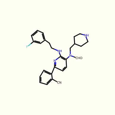 N#Cc1ccccc1-c1ccc(N(C=O)CC2CCNCC2)c(NCCc2cccc(F)c2)n1